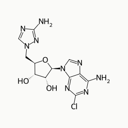 Nc1ncn(C[C@H]2O[C@@H](n3cnc4c(N)nc(Cl)nc43)[C@H](O)[C@@H]2O)n1